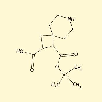 CC(C)(C)OC(=O)C1C(C(=O)O)CC12CCNCC2